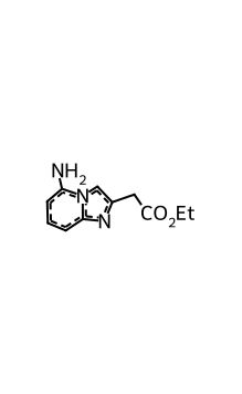 CCOC(=O)Cc1cn2c(N)cccc2n1